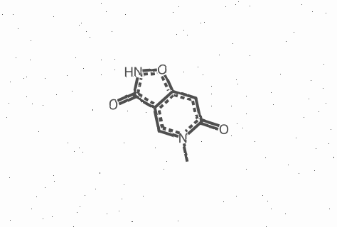 Cn1cc2c(=O)[nH]oc2cc1=O